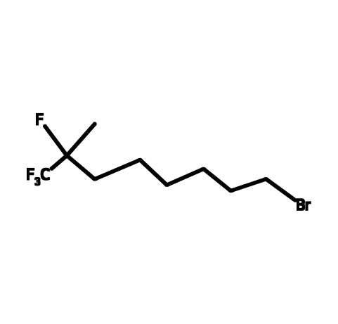 CC(F)(CCCCCCBr)C(F)(F)F